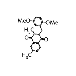 COc1ccc(OC)c(CC2=C(C)C(=O)c3cc(C)ccc3C2=O)c1